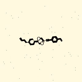 C=CCC[C@H]1CC[C@H]([C@@H]2CO[C@@H](C#Cc3ccc(CC)cc3)CO2)CC1